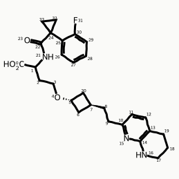 O=C(O)C(CCO[C@H]1C[C@H](CCc2ccc3c(n2)NCCC3)C1)NC(=O)C1(c2ccccc2F)CC1